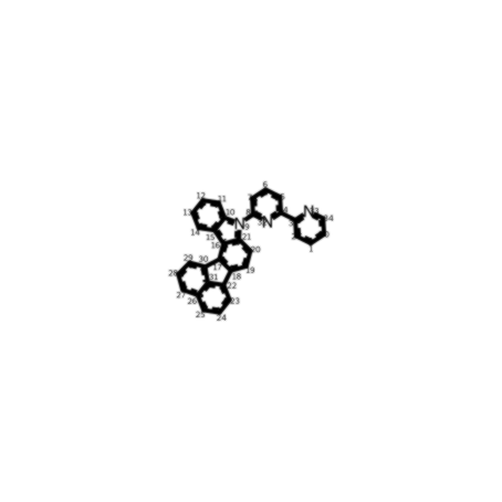 c1ccc(-c2cccc(-n3c4ccccc4c4c5c(ccc43)-c3cccc4cccc-5c34)n2)nc1